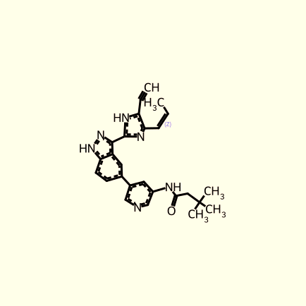 C#Cc1[nH]c(-c2n[nH]c3ccc(-c4cncc(NC(=O)CC(C)(C)C)c4)cc23)nc1/C=C\C